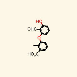 Cc1c(Oc2cccc(O)c2C=O)cccc1C(=O)O